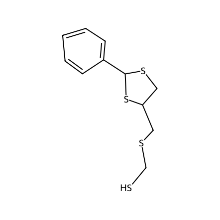 SCSCC1CSC(c2ccccc2)S1